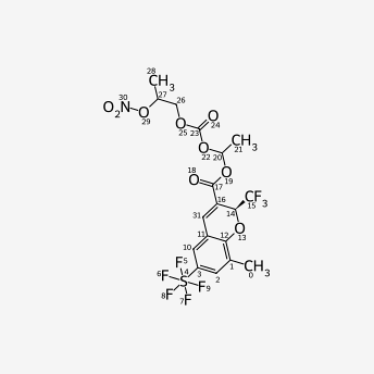 Cc1cc(S(F)(F)(F)(F)F)cc2c1O[C@H](C(F)(F)F)C(C(=O)OC(C)OC(=O)OCC(C)O[N+](=O)[O-])=C2